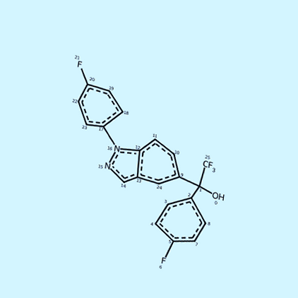 OC(c1ccc(F)cc1)(c1ccc2c(cnn2-c2ccc(F)cc2)c1)C(F)(F)F